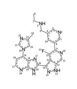 CCNCc1cncc(-c2ncc3[nH]nc(-c4nc5c(-n6cnc(C)c6)ccnc5[nH]4)c3c2F)c1